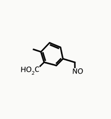 Cc1ccc(CN=O)cc1C(=O)O